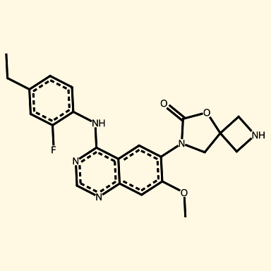 CCc1ccc(Nc2ncnc3cc(OC)c(N4CC5(CNC5)OC4=O)cc23)c(F)c1